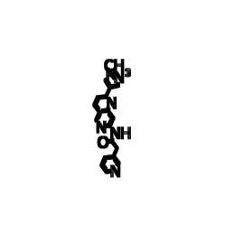 Cn1cc(-c2ccc3cnc(NC(=O)Cc4cccnc4)cc3n2)cn1